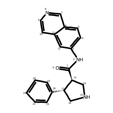 O=C(Nc1ccc2cnccc2c1)[C@H]1CNC[C@@H]1c1ccccc1